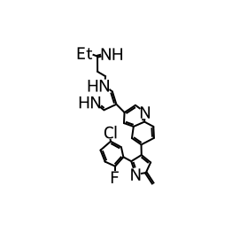 C=C1C=C(c2ccc3ncc(/C(C=N)=C/NCCC(=N)CC)cc3c2)C(c2cc(Cl)ccc2F)=N1